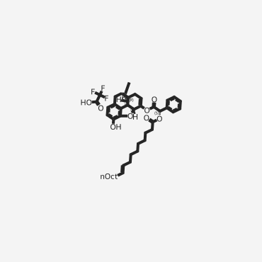 CCCCCCCCC=CCCCCCCCC(=O)O[C@H](C(=O)OC1=CC[C@]2(O)C3Cc4ccc(O)c5c4[C@@]2(CCN3C)[C@H]1O5)c1ccccc1.O=C(O)C(F)(F)F